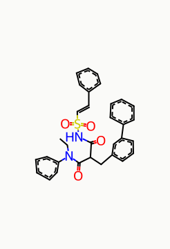 CCN(C(=O)C(Cc1cccc(-c2ccccc2)c1)C(=O)NS(=O)(=O)C=Cc1ccccc1)c1ccccc1